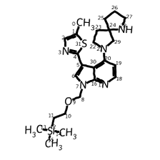 Cc1cnc(-c2cn(COCC[Si](C)(C)C)c3nccc(N4CCC5(CCCN5)C4)c23)s1